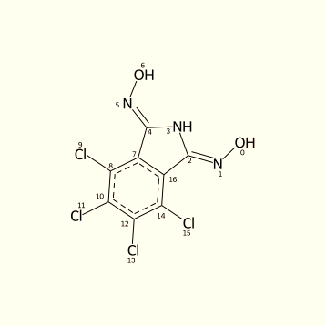 O/N=C1\N/C(=N\O)c2c(Cl)c(Cl)c(Cl)c(Cl)c21